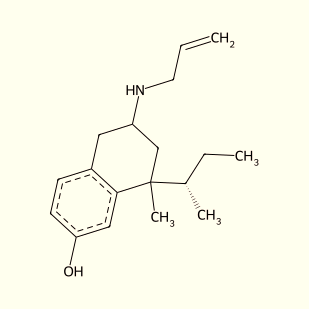 C=CCNC1Cc2ccc(O)cc2C(C)([C@@H](C)CC)C1